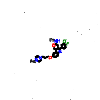 CC(=O)N1CCN(CCCOc2ccc3nc(-c4ccc(F)c(Cl)c4)c(CC(=O)NC(C)C)c(C)c3c2)CC1